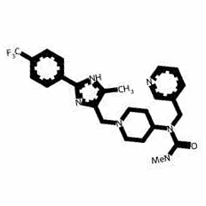 CNC(=O)N(Cc1cccnc1)C1CCN(Cc2nc(-c3ccc(C(F)(F)F)cc3)[nH]c2C)CC1